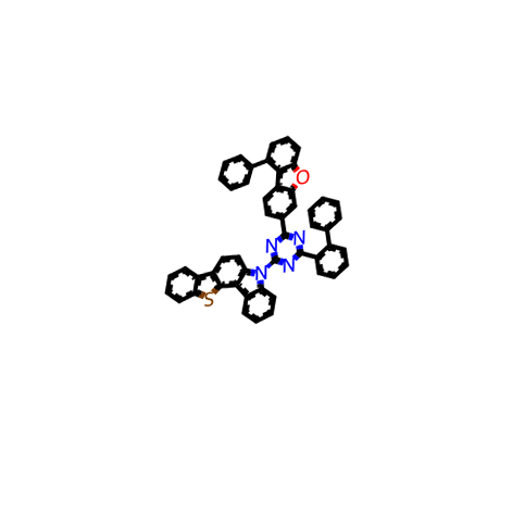 c1ccc(-c2ccccc2-c2nc(-c3ccc4c(c3)oc3cccc(-c5ccccc5)c34)nc(-n3c4ccccc4c4c5sc6ccccc6c5ccc43)n2)cc1